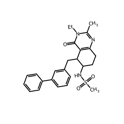 CCn1c(C)nc2c(c1=O)C(Cc1cccc(-c3ccccc3)c1)C(NS(C)(=O)=O)CC2